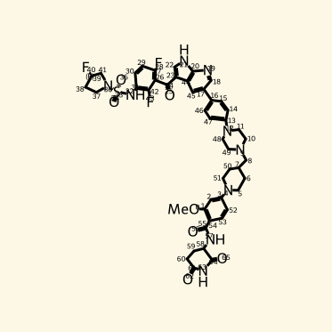 COc1cc(N2CCC(CN3CCN(c4ccc(-c5cnc6[nH]cc(C(=O)c7c(F)ccc(NS(=O)(=O)N8CC[C@@H](F)C8)c7F)c6c5)cc4)CC3)CC2)ccc1C(=O)NC1CCC(=O)NC1=O